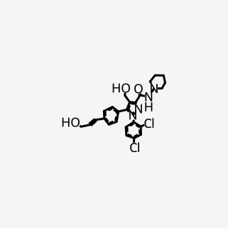 O=C(NN1CCCCC1)c1nn(-c2ccc(Cl)cc2Cl)c(-c2ccc(C#CCO)cc2)c1CO